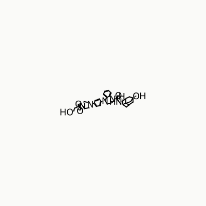 O=C(N[C@H]1C2CC3CC1C[C@@](O)(C3)C2)N1CCN(c2ccc(N3CCN(S(=O)(=O)CCO)CC3)cc2)c2ccccc21